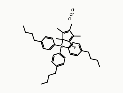 CCCCc1ccc([Si](c2ccc(CCCC)cc2)(c2ccc(CCCC)cc2)C2(C)C(C)=C(C)C(C)=[C]2[Ti+3])cc1.[Cl-].[Cl-].[Cl-]